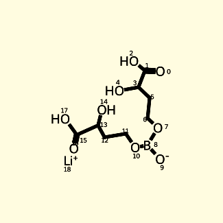 O=C(O)C(O)CCOB([O-])OCCC(O)C(=O)O.[Li+]